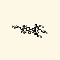 C=C=C/C=N\C(=N)c1ccc(C(C)CNC(=O)N(C)C(CCC)CCNC)c(Cl)c1C